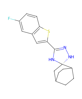 Fc1ccc2sc(C3=NN[C@]4(CC5CCC4CC5)N3)cc2c1